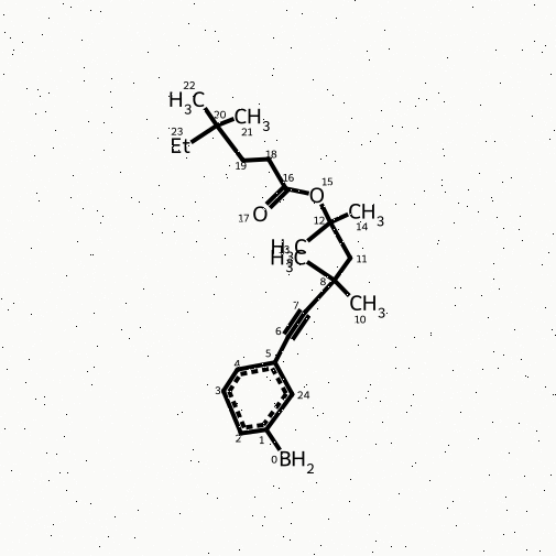 Bc1cccc(C#CC(C)(C)CC(C)(C)OC(=O)CCC(C)(C)CC)c1